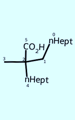 CCCCCCCCC(C)(CCCCCCC)C(=O)O